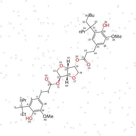 CCCC(C)(CC)c1cc(CCC(=O)O[C@H]2CO[C@H]3[C@@H]2OC[C@H]3OC(=O)CCc2cc(OC)c(O)c(C(C)(CCC)CC(C)CC)c2)cc(OC)c1O